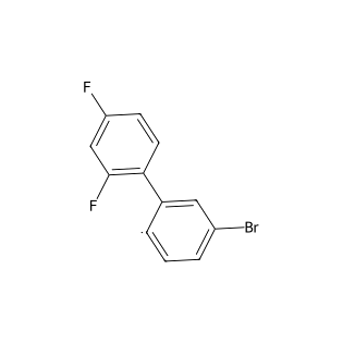 Fc1ccc(-c2[c]ccc(Br)c2)c(F)c1